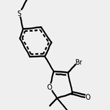 CSc1ccc(C2=C(Br)C(=O)C(C)(C)O2)cc1